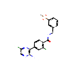 CS(=O)(=O)c1cccc(CNC(=O)c2ccc(-c3nc(Br)cnc3N)cc2F)c1